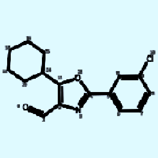 O=Cc1nc(-c2cccc(Cl)c2)oc1C1CCCCC1